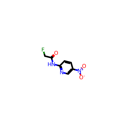 O=C(CF)Nc1ccc([N+](=O)[O-])cn1